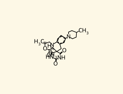 CC1CCN(c2ccc3c(c2)CC2(C(=O)NC(=O)NC2=O)[C@H]2[C@H](C)O[C@H](C)CN32)CC1